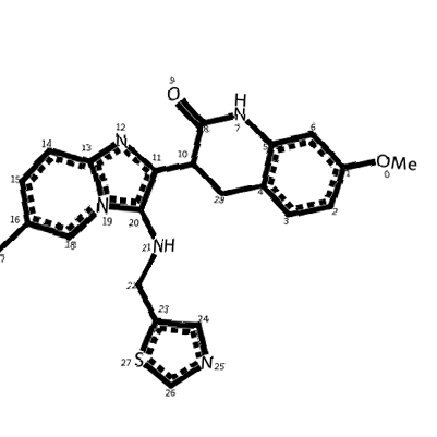 COc1ccc2c(c1)NC(=O)C(c1nc3ccc(C)cn3c1NCc1cncs1)C2